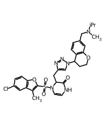 Cc1c(S(=O)(=O)N2C=CNC(=O)C2Cc2cn(C3CCOc4cc(CN(C)C(C)C)ccc43)nn2)oc2ccc(Cl)cc12